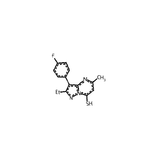 CCc1nn2c(S)cc(C)nc2c1-c1ccc(F)cc1